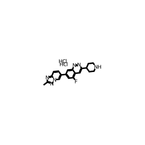 Cc1nc2ccc(-c3cc(F)c4cc(C5CCNCC5)nnc4c3)cn2n1.Cl.Cl